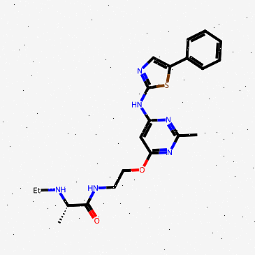 CCN[C@@H](C)C(=O)NCCOc1cc(Nc2ncc(-c3ccccc3)s2)nc(C)n1